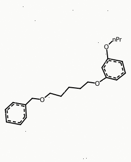 CCCOc1cccc(OCCCCCOCc2ccccc2)c1